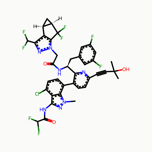 Cn1nc(NC(=O)C(F)F)c2c(Cl)ccc(-c3ccc(C#CC(C)(C)O)nc3[C@H](Cc3cc(F)cc(F)c3)NC(=O)Cn3nc(C(F)F)c4c3C(F)(F)[C@@H]3C[C@H]43)c21